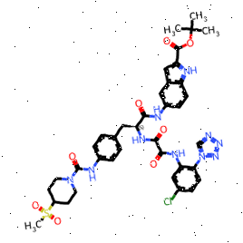 CC(C)(C)OC(=O)c1cc2cc(NC(=O)[C@H](Cc3ccc(NC(=O)N4CCC(S(C)(=O)=O)CC4)cc3)NC(=O)C(=O)Nc3cc(Cl)ccc3-n3cnnn3)ccc2[nH]1